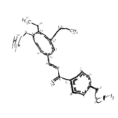 CCc1ccc(C(=S)C=Cc2cc(CC)c(CC)c(CC)c2)cc1